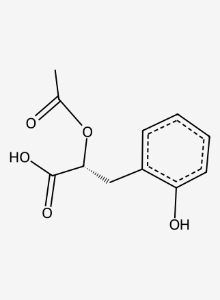 CC(=O)O[C@H](Cc1ccccc1O)C(=O)O